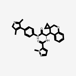 CC1=NCC(C)=C1c1ccc(NC(=O)[C@@H](NC(=O)c2ccnn2C)C2c3ccccc3OCC23CC3)cc1